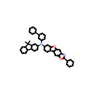 CC1(C)c2ccccc2-c2ccc(N(c3cccc(-c4ccccc4)c3)c3ccc4c(c3)oc3cc5nc(-c6ccccc6)oc5cc34)cc21